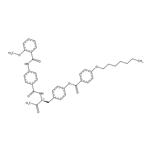 CCCCCCCOc1ccc(C(=O)Oc2ccc(C[C@H](NC(=O)c3ccc(NC(=O)c4ccccc4OC)cc3)C(C)=O)cc2)cc1